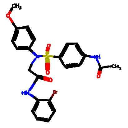 COc1ccc(N(CC(=O)Nc2ccccc2Br)S(=O)(=O)c2ccc(NC(C)=O)cc2)cc1